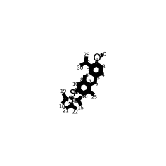 COc1ccc(Cc2c(C)cc(S[Si](C(C)C)(C(C)C)C(C)C)cc2C)cc1C(C)C